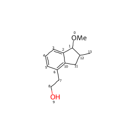 COC1c2cccc(CCO)c2CC1C